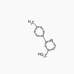 Cc1ccc(-c2cc(C(=O)O)ccn2)cc1